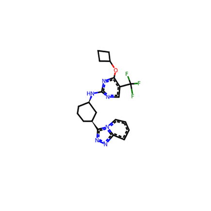 FC(F)(F)c1cnc(N[C@@H]2CCC[C@H](c3nnc4ccccn34)C2)nc1OC1CCC1